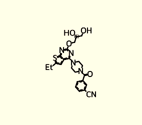 CCc1cc2c(N3CCN(C(=O)c4cccc(C#N)c4)CC3)nc(OC[C@@H](O)CO)nc2s1